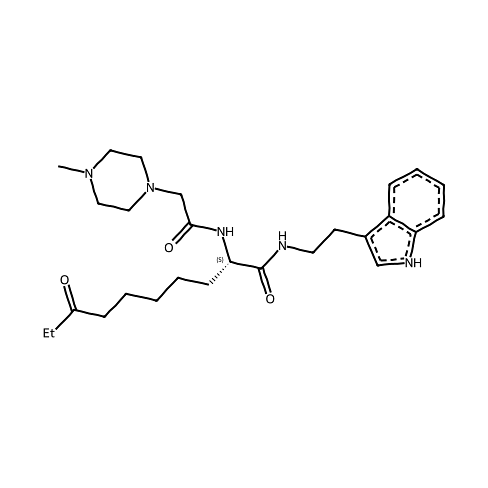 CCC(=O)CCCCC[C@H](NC(=O)CN1CCN(C)CC1)C(=O)NCCc1c[nH]c2ccccc12